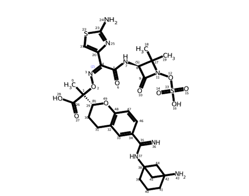 CC(O/N=C(\C(=O)N[C@@H]1C(=O)N(OS(=O)(=O)O)C1(C)C)c1csc(N)n1)(C(=O)O)[C@H]1CCc2cc(C(=N)NC34CCCC(N)(C3)C4)ccc2O1